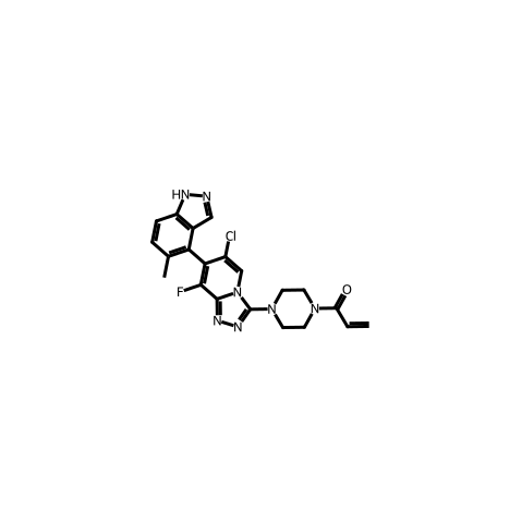 C=CC(=O)N1CCN(c2nnc3c(F)c(-c4c(C)ccc5[nH]ncc45)c(Cl)cn23)CC1